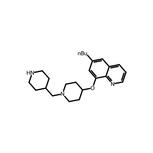 CCCCc1cc(OC2CCN(CC3CCNCC3)CC2)c2ncccc2c1